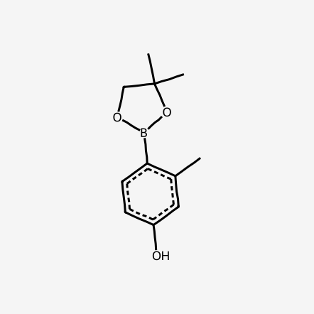 Cc1cc(O)ccc1B1OCC(C)(C)O1